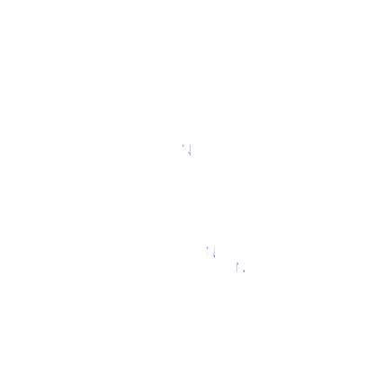 Cc1cnc(C)n1CC#CCN1CCCC1=O